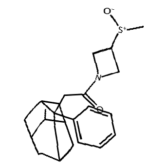 CC1C2CC3CC1CC(C2)C3(CC(=O)N1CC([S+](C)[O-])C1)c1ccccc1